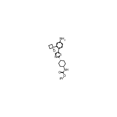 CC(C)OC(=O)N[C@H]1CC[C@H](c2ncc(-c3ccc(N)cc3P3(=O)CCC3)s2)CC1